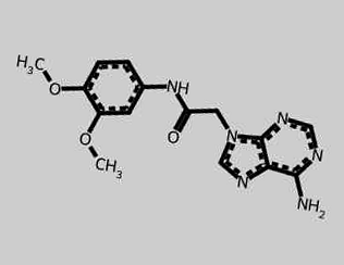 COc1ccc(NC(=O)Cn2cnc3c(N)ncnc32)cc1OC